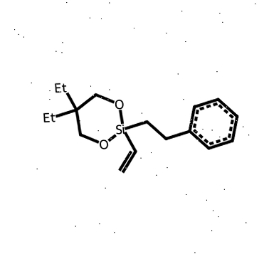 C=C[Si]1(CCc2ccccc2)OCC(CC)(CC)CO1